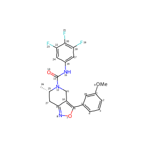 COc1cccc(-c2onc3c2CN(C(=O)Nc2cc(F)c(F)c(F)c2)[C@@H](C)C3)c1